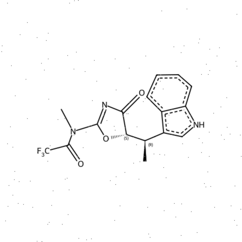 C[C@H](c1c[nH]c2ccccc12)[C@@H]1OC(N(C)C(=O)C(F)(F)F)=NC1=O